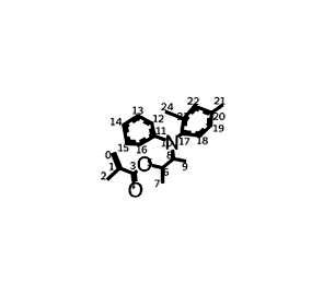 C=C(C)C(=O)OC(C)C(C)N(c1ccccc1)c1ccc(C)cc1C